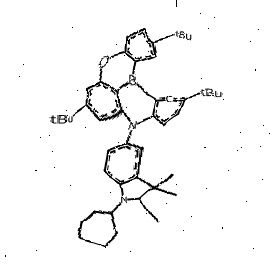 CC1N(C2CCCCC2)c2ccc(N3c4ccc(C(C)(C)C)cc4B4c5cc(C(C)(C)C)ccc5Oc5cc(C(C)(C)C)cc3c54)cc2C1(C)C